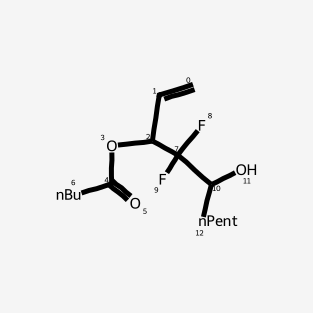 C=CC(OC(=O)CCCC)C(F)(F)C(O)CCCCC